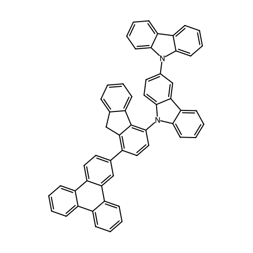 c1ccc2c(c1)Cc1c(-c3ccc4c5ccccc5c5ccccc5c4c3)ccc(-n3c4ccccc4c4cc(-n5c6ccccc6c6ccccc65)ccc43)c1-2